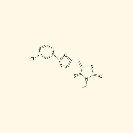 CCN1C(=O)SC(=Cc2ccc(-c3cccc(Cl)c3)o2)C1=S